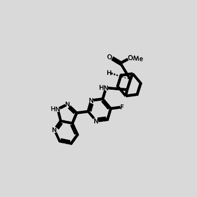 COC(=O)[C@H]1C2CCC(CC2)C1Nc1nc(-c2n[nH]c3ncccc23)ncc1F